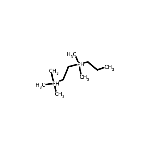 CCC[PH](C)(C)CC[PH](C)(C)C